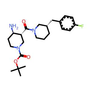 CC(C)(C)OC(=O)N1CC[C@@H](N)[C@H](C(=O)N2CCC[C@@H](Cc3ccc(F)cc3)C2)C1